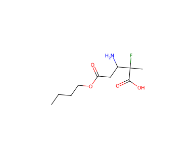 CCCCOC(=O)CC(N)C(C)(F)C(=O)O